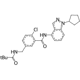 CC(C)(C)C(=O)NCc1ccc(Cl)c(C(=O)Nc2cccc3c2cnn3C2CCCC2)c1